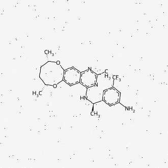 Cc1nc(N[C@H](C)c2cc(N)cc(C(F)(F)F)c2)c2cc3c(cc2n1)O[C@@H](C)CC[C@@H](C)O3